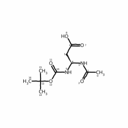 CC(=O)N[C@H](CC(=O)O)NC(=O)OC(C)(C)C